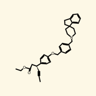 CC#C[C@@H](CC(=O)OCC)c1ccc(OCc2ccc(CN3CCC4(CCc5ccccc54)CC3)cc2)cc1